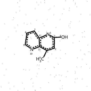 Cc1cc(O)nc2cccnc12